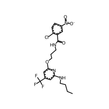 CCCCNc1cc(C(F)(F)F)cc(OCCCNC(=O)c2cc([N+](=O)[O-])ccc2Cl)n1